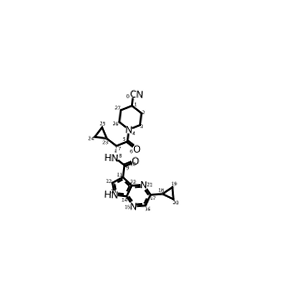 N#CC1CCN(C(=O)[C@H](NC(=O)c2c[nH]c3ncc(C4CC4)nc23)C2CC2)CC1